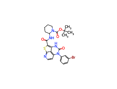 CC(C)(C)OC(=O)N1CCCCC1NC(=O)c1sc2nccc3c2c1NC(=O)N3c1cccc(Br)c1